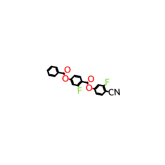 N#Cc1ccc(OC(=O)c2ccc(OC(=O)c3ccccc3)cc2F)cc1F